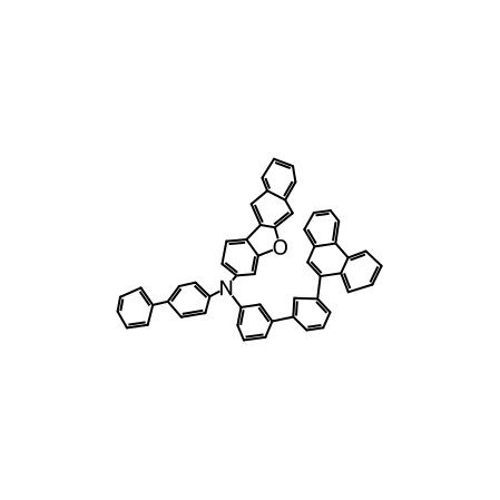 c1ccc(-c2ccc(N(c3cccc(-c4cccc(-c5cc6ccccc6c6ccccc56)c4)c3)c3ccc4c(c3)oc3cc5ccccc5cc34)cc2)cc1